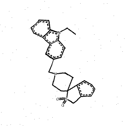 CCn1c2ccccc2c2cc(CN3CCC4(CC3)c3ccccc3CS4(=O)=O)ccc21